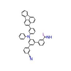 N#Cc1cccc(-c2cc(-c3cccc(C(=N)I)c3)cc(N(c3ccccc3)c3cccc(-c4ccc5c6c(cccc46)-c4ccccc4-5)c3)c2)c1